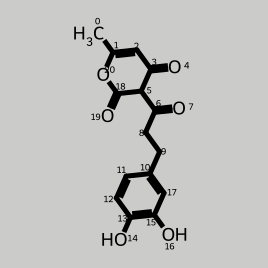 CC1=CC(=O)C(C(=O)CCc2ccc(O)c(O)c2)C(=O)O1